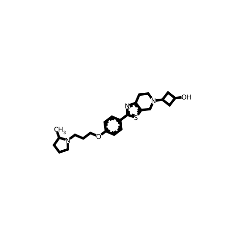 CC1CCCN1CCCOc1ccc(-c2nc3c(s2)CN(C2CC(O)C2)CC3)cc1